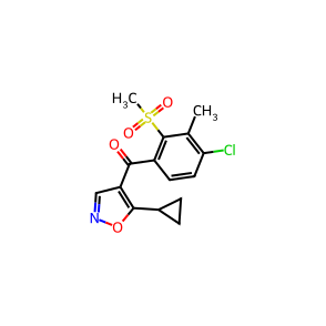 Cc1c(Cl)ccc(C(=O)c2cnoc2C2CC2)c1S(C)(=O)=O